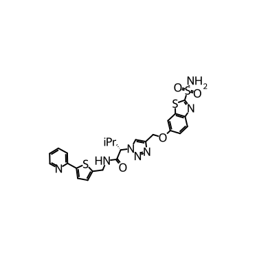 CC(C)[C@@H](C(=O)NCc1ccc(-c2ccccn2)s1)n1cc(COc2ccc3nc(S(N)(=O)=O)sc3c2)nn1